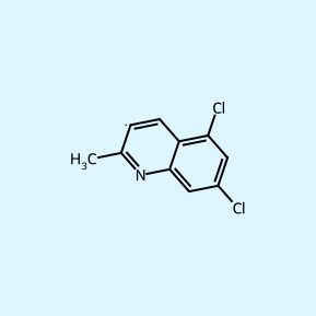 Cc1[c]cc2c(Cl)cc(Cl)cc2n1